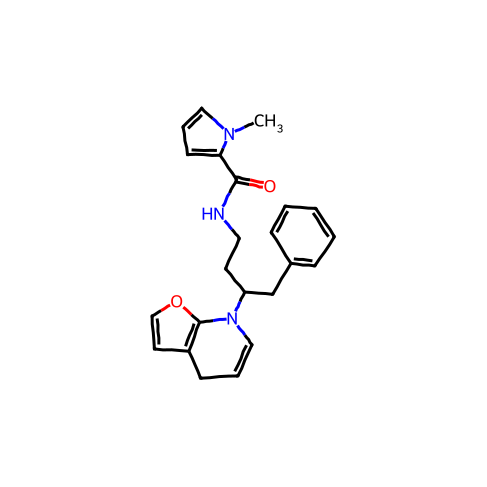 Cn1cccc1C(=O)NCCC(Cc1ccccc1)N1C=CCc2ccoc21